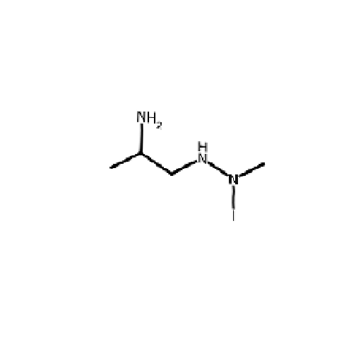 CC(N)CNN(C)I